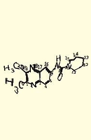 Cc1nc2ccc(NC(=O)N3CCCCC3)cc2nc1C